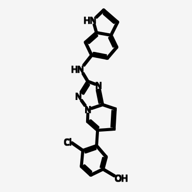 Oc1ccc(Cl)c(-c2ccc3nc(Nc4ccc5cc[nH]c5c4)nn3c2)c1